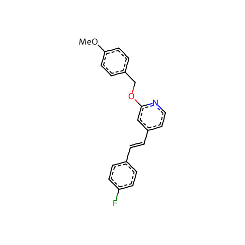 COc1ccc(COc2cc(C=Cc3ccc(F)cc3)ccn2)cc1